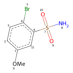 COc1ccc(Br)c(S(N)(=O)=O)c1